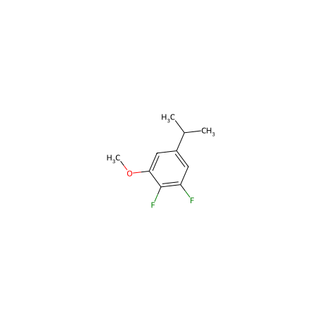 COc1cc(C(C)C)cc(F)c1F